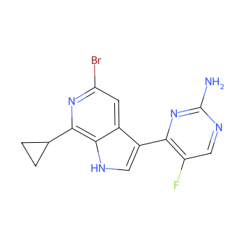 Nc1ncc(F)c(-c2c[nH]c3c(C4CC4)nc(Br)cc23)n1